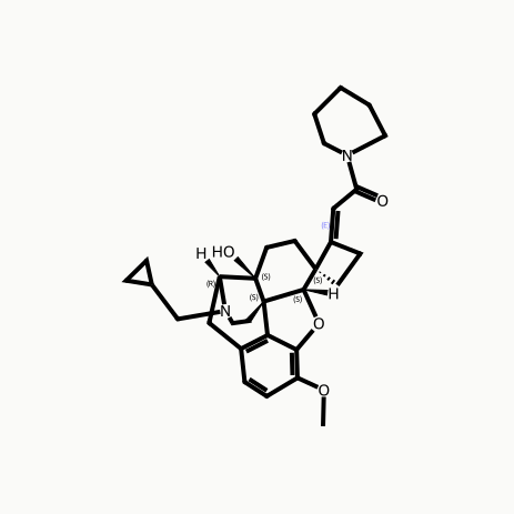 COc1ccc2c3c1O[C@H]1[C@@]4(CC/C4=C\C(=O)N4CCCCC4)CC[C@@]4(O)[C@@H](C2)N(CC2CC2)CC[C@]314